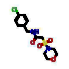 O=C(CS(=O)(=O)N1CCOCC1)NCc1ccc(Cl)cc1